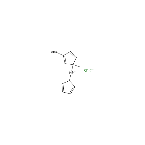 CCCCC1=C[C](C)([Hf+2][CH]2C=CC=C2)C=C1.[Cl-].[Cl-]